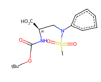 CC(C)(C)OC(=O)N[C@H](CN(c1ccccc1)S(C)(=O)=O)C(=O)O